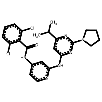 CC(C)c1cc(Nc2cc(NC(=O)c3c(Cl)cccc3Cl)ccn2)nc(N2CCCC2)n1